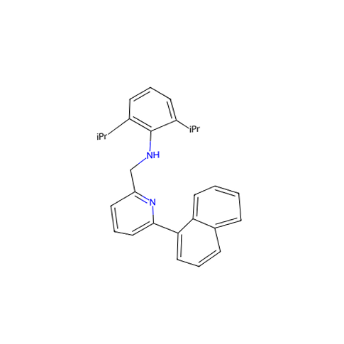 CC(C)c1cccc(C(C)C)c1NCc1cccc(-c2cccc3ccccc23)n1